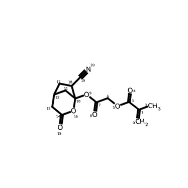 C=C(C)C(=O)OCC(=O)OC12CC(CC(=O)O1)CC2C#N